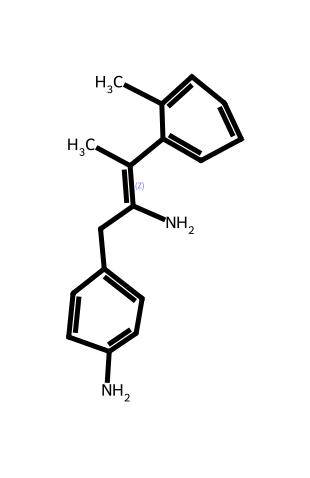 C/C(=C(/N)Cc1ccc(N)cc1)c1ccccc1C